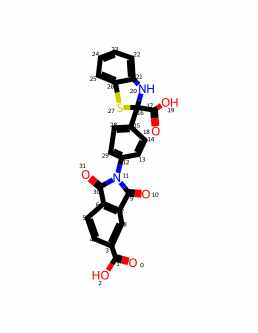 O=C(O)c1ccc2c(c1)C(=O)N(c1ccc(C3(C(=O)O)Nc4ccccc4S3)cc1)C2=O